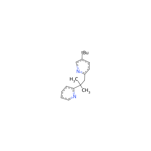 CC(C)(C)c1ccc(CC(C)(C)c2ccccn2)nc1